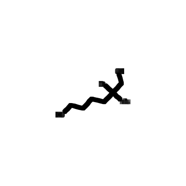 CCCCC(CC)(CO)CCCCO